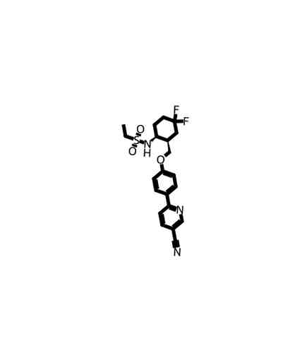 CCS(=O)(=O)N[C@H]1CCC(F)(F)C[C@H]1COc1ccc(-c2ccc(C#N)cn2)cc1